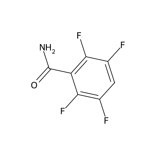 NC(=O)c1c(F)c(F)cc(F)c1F